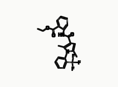 CCOC(=O)c1ccccc1NC(=O)c1cc(C)n(-c2ccccc2C(F)(F)F)c1C